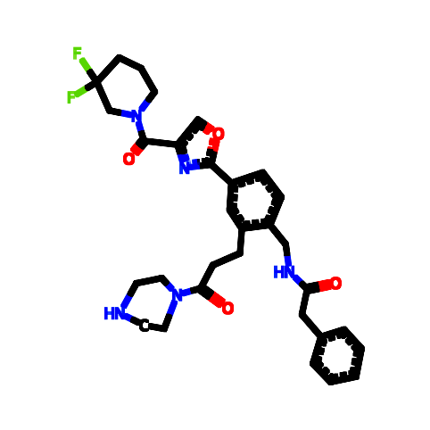 O=C(Cc1ccccc1)NCc1ccc(-c2nc(C(=O)N3CCCC(F)(F)C3)co2)cc1CCC(=O)N1CCNCC1